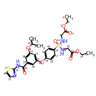 CCOC(=O)CNP(=O)(NCC(=O)OCC)c1ccc(Oc2cc(OC(C)C)cc(C(=O)Nc3nccs3)c2)cc1